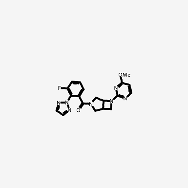 COc1ccnc(N2CC3CN(C(=O)c4cccc(F)c4-n4nccn4)CC32)n1